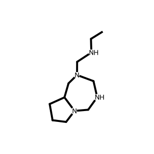 CCNCN1CNCN2CCCC2C1